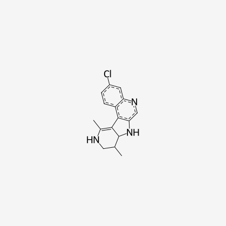 CC1=C2c3c(cnc4cc(Cl)ccc34)NC2C(C)CN1